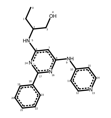 CCC(CO)Nc1cc(Nc2ccncc2)nc(-c2ccccc2)n1